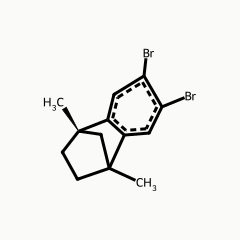 CC12CC[C@@](C)(C1)c1cc(Br)c(Br)cc12